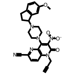 C#CCn1c(=O)c([N+](=O)[O-])c(N2CCN(C3CCc4ccc(OC)cc43)CC2)c2nc(C#N)ccc21